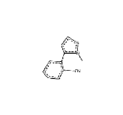 Cn1nccc1-c1ccccc1C#N